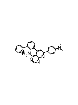 CN(C)c1ccc(-c2cc(-c3cccc(-c4ccccn4)c3)c3c(N)ncnc3n2)cc1